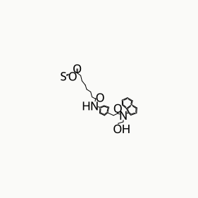 O=C(CCCCCCC(=O)OC=S)Nc1ccc(CC(=O)N(CCO)c2cccc3ccccc23)cc1